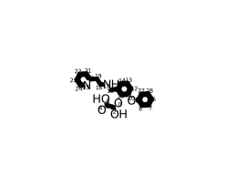 O=C(O)C(=O)O.c1ccc(Oc2cccc(CNCCc3ccccn3)c2)cc1